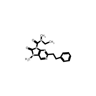 CCN(C)C(=O)n1c(=O)n(C)c2cnc(CCc3ccccc3)nc21